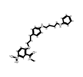 COC(=O)c1cc([N+](=O)[O-])ccc1OCCCc1ccc(OCCCCOc2ccccc2)cc1